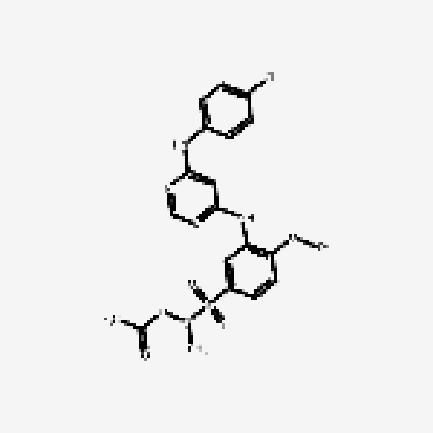 CC(C)Oc1ccc(S(=O)(=O)N(C)OC(=O)C(F)(F)F)cc1Nc1cc(Nc2ccc(Cl)cc2)ncn1